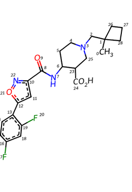 CC1(CN2CCC(NC(=O)c3cc(-c4ccc(F)cc4F)on3)C(C(=O)O)C2)CCC1